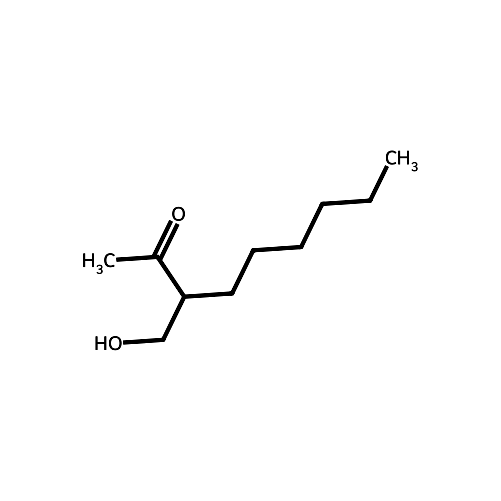 CCCCCCC(CO)C(C)=O